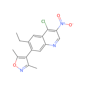 CCc1cc2c(Cl)c([N+](=O)[O-])cnc2cc1-c1c(C)noc1C